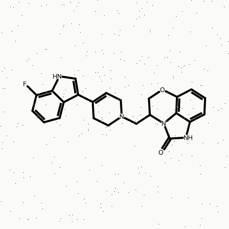 O=c1[nH]c2cccc3c2n1C(CN1CC=C(c2c[nH]c4c(F)cccc24)CC1)CO3